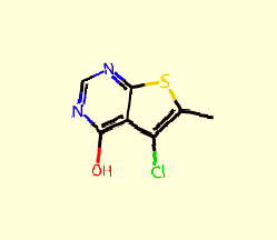 Cc1sc2ncnc(O)c2c1Cl